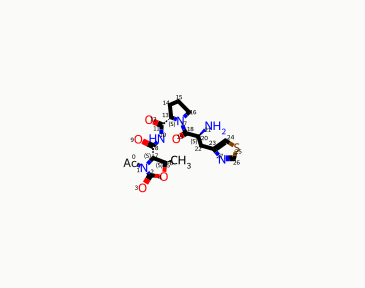 CC(=O)N1C(=O)O[C@@H](C)[C@H]1C(=O)NC(=O)[C@@H]1CCCN1C(=O)[C@@H](N)Cc1cscn1